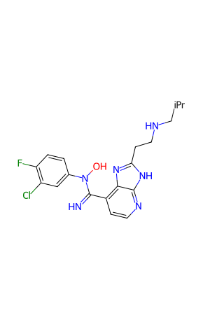 CC(C)CNCCc1nc2c(C(=N)N(O)c3ccc(F)c(Cl)c3)ccnc2[nH]1